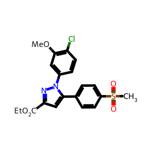 CCOC(=O)c1cc(-c2ccc(S(C)(=O)=O)cc2)n(-c2ccc(Cl)c(OC)c2)n1